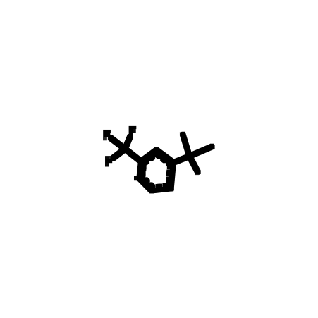 CC(C)(C)c1cc[c]c(C(F)(F)F)c1